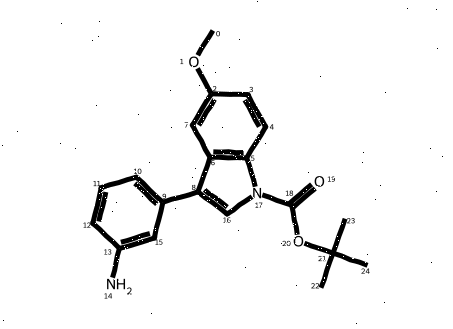 COc1ccc2c(c1)c(-c1cccc(N)c1)cn2C(=O)OC(C)(C)C